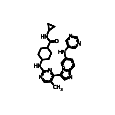 Cc1cnc(NC2CCC(C(=O)NC3CC3)CC2)nc1-c1cnc2ccc(Nc3cncnc3)cn12